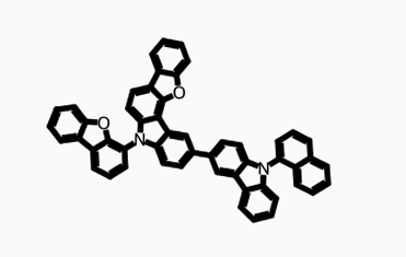 c1ccc2c(-n3c4ccccc4c4cc(-c5ccc6c(c5)c5c7oc8ccccc8c7ccc5n6-c5cccc6c5oc5ccccc56)ccc43)cccc2c1